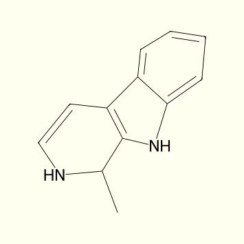 CC1NC=Cc2c1[nH]c1ccccc21